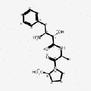 C[C@H](NC(=O)[C@@H](O)[C@@H](N)Cc1ccccc1)C(=O)N1CCC[C@H]1C(=O)O